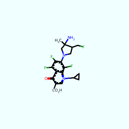 CC1(N)CN(c2c(F)c(F)c3c(=O)c(C(=O)O)cn(C4CC4)c3c2F)CC1CF